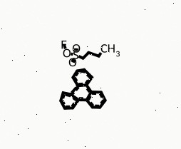 CCCCS(=O)(=O)OF.c1ccc2c(c1)c1ccccc1c1ccccc21